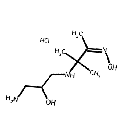 CC(=NO)C(C)(C)NCC(O)CN.Cl